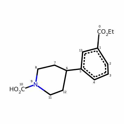 CCOC(=O)c1cccc(C2CCN(C(=O)O)CC2)c1